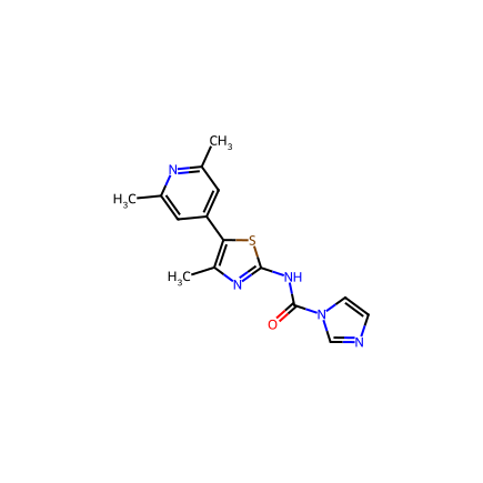 Cc1cc(-c2sc(NC(=O)n3ccnc3)nc2C)cc(C)n1